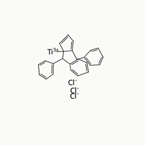 [Cl-].[Cl-].[Cl-].[Ti+3][C]1(C(c2ccccc2)c2ccccc2)C=CC=C1Cc1ccccc1